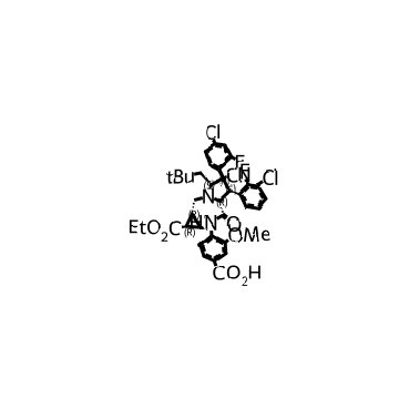 CCOC(=O)[C@@H]1C[C@H]1CN1[C@@H](CC(C)(C)C)[C@](C#N)(c2ccc(Cl)cc2F)[C@@H](c2cccc(Cl)c2F)[C@@H]1C(=O)Nc1ccc(C(=O)O)cc1OC